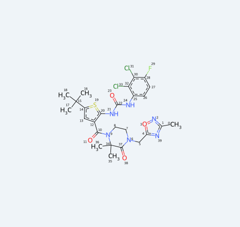 Cc1noc(CN2CCN(C(=O)c3cc(C(C)(C)C)sc3NC(=O)Nc3ccc(F)c(Cl)c3Cl)C(C)(C)C2=O)n1